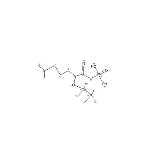 CC(C)CCCC(O[Si](C)(C)C(C)(C)C)C(=O)CP(=O)(O)O